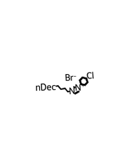 CCCCCCCCCCCCCCn1cc[n+](-c2ccc(Cl)cc2)c1.[Br-]